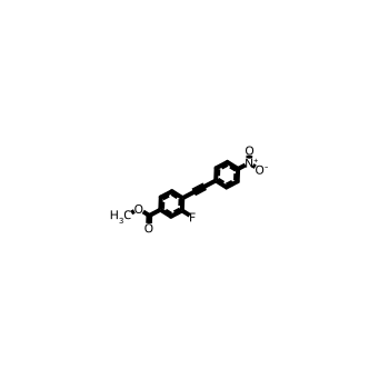 COC(=O)c1ccc(C#Cc2ccc([N+](=O)[O-])cc2)c(F)c1